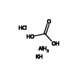 Cl.O=C(O)O.[AlH3].[KH]